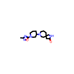 Cc1noc(N2CCCC(N3CCCC4(CC3)CNC(=O)C4)CC2)n1